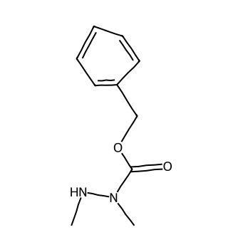 CNN(C)C(=O)OCc1ccccc1